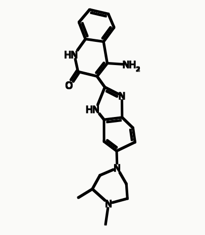 CC1CN(c2ccc3nc(-c4c(N)c5ccccc5[nH]c4=O)[nH]c3c2)CCN1C